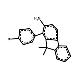 CC1(C)c2ccccc2-c2ccc(N)c(-c3ccc(Br)cc3)c21